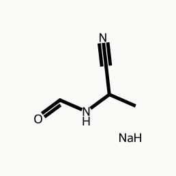 CC(C#N)NC=O.[NaH]